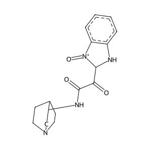 O=C(NC1CN2CCC1CC2)C(=O)C1Nc2ccccc2[N+]1=O